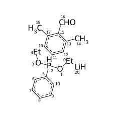 CCO[PH](OCC)(c1ccccc1)c1cc(C)c(C=O)c(C)c1.[LiH]